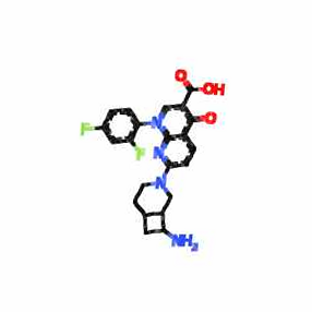 NC1CC2CCN(c3ccc4c(=O)c(C(=O)O)cn(-c5ccc(F)cc5F)c4n3)CC12